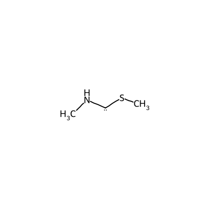 CN[C]SC